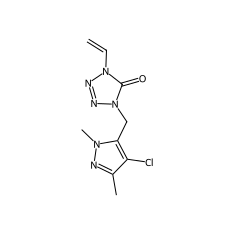 C=Cn1nnn(Cc2c(Cl)c(C)nn2C)c1=O